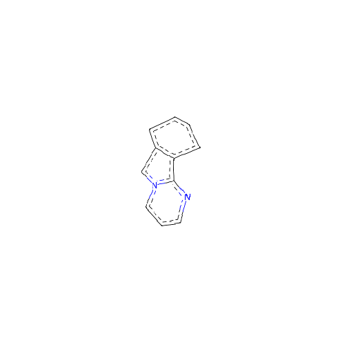 c1ccc2c(c1)cn1cccnc21